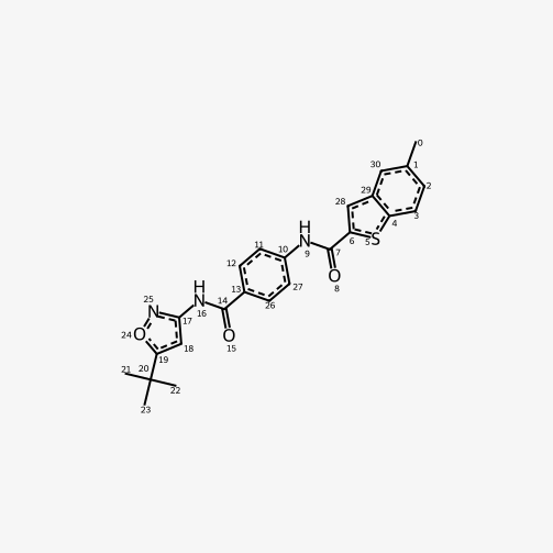 Cc1ccc2sc(C(=O)Nc3ccc(C(=O)Nc4cc(C(C)(C)C)on4)cc3)cc2c1